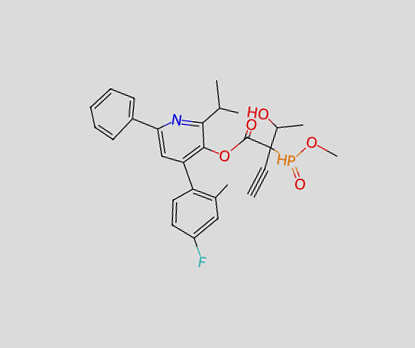 C#CC(C(=O)Oc1c(-c2ccc(F)cc2C)cc(-c2ccccc2)nc1C(C)C)(C(C)O)[PH](=O)OC